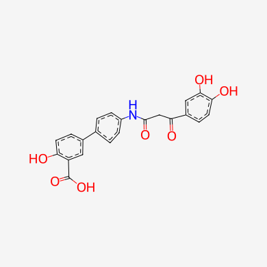 O=C(CC(=O)c1ccc(O)c(O)c1)Nc1ccc(-c2ccc(O)c(C(=O)O)c2)cc1